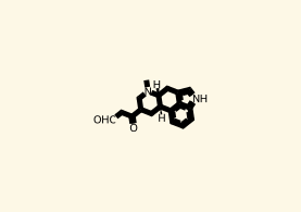 CN1CC(C(=O)CC=O)C[C@@H]2c3cccc4[nH]cc(c34)C[C@H]21